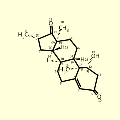 C[C@H]1C[C@H]2[C@@H]3CCC4=CC(=O)C[C@@H](O)[C@]4(C)[C@H]3CC[C@]2(C)C1=O